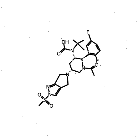 CC(=O)N1C[C@H](N2Cc3cn(S(C)(=O)=O)nc3C2)C[C@H](N(C(=O)O)C(C)(C)C)[C@H]1c1cc(F)ccc1F